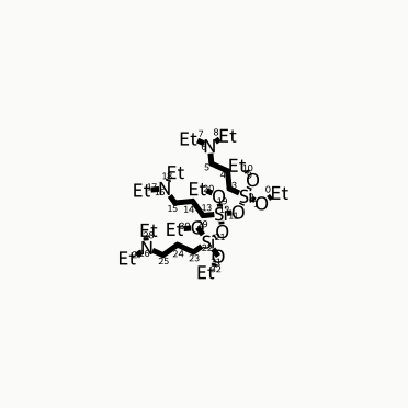 CCO[Si](CCCN(CC)CC)(OCC)O[Si](CCCN(CC)CC)(OCC)O[Si](CCCN(CC)CC)(OCC)OCC